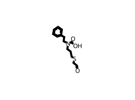 O=CCSCCCN(CCc1ccccc1)C(=O)O